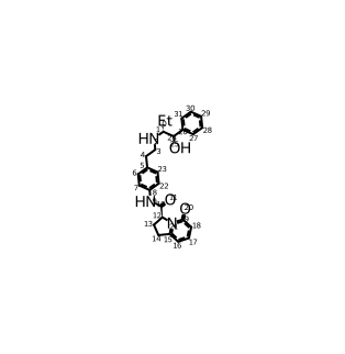 CC[C@@H](NCCc1ccc(NC(=O)[C@@H]2CCc3cccc(=O)n32)cc1)[C@H](O)c1ccccc1